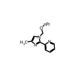 CCCOCn1cc(C)nc1-c1ccccn1